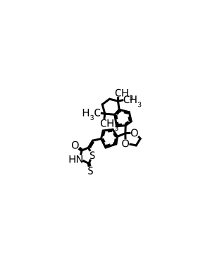 CC1(C)CCC(C)(C)c2cc(C3(c4ccc(/C=C5\SC(=S)NC5=O)cc4)OCCO3)ccc21